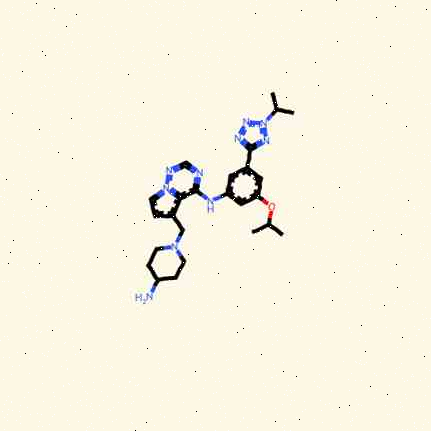 CC(C)Oc1cc(Nc2ncnn3ccc(CN4CCC(N)CC4)c23)cc(-c2nnn(C(C)C)n2)c1